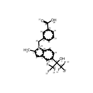 Cc1cc2cc(C(O)(C(F)(F)F)C(F)(F)F)ccc2n1Cc1cccc(C(=O)O)c1